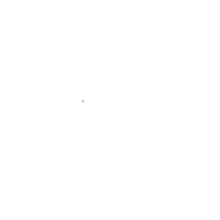 CC(C)Oc1nn([C@@H](C)C#N)cc1[N+](=O)[O-]